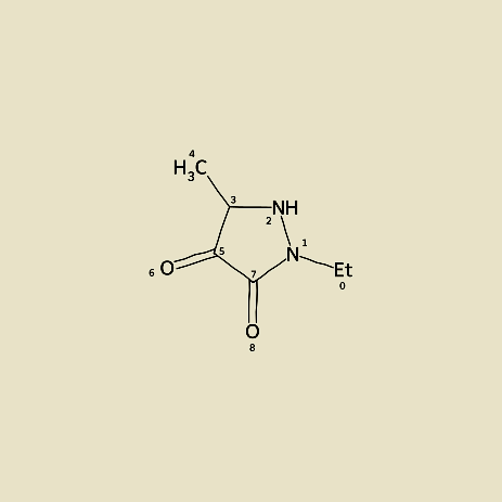 CCN1NC(C)C(=O)C1=O